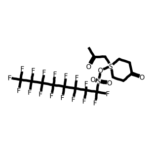 CC(=O)CS1(OS(=O)(=O)C(F)(F)C(F)(F)C(F)(F)C(F)(F)C(F)(F)C(F)(F)C(F)(F)C(F)(F)F)CCC(=O)CC1